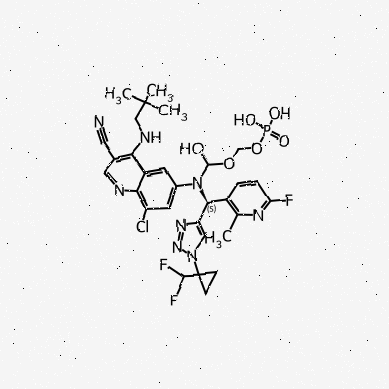 Cc1nc(F)ccc1[C@@H](c1cn(C2(C(F)F)CC2)nn1)N(c1cc(Cl)c2ncc(C#N)c(NCC(C)(C)C)c2c1)C(O)OCOP(=O)(O)O